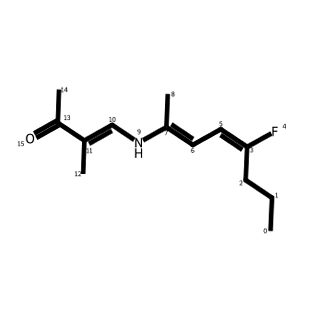 CCC/C(F)=C\C=C(/C)N/C=C(\C)C(C)=O